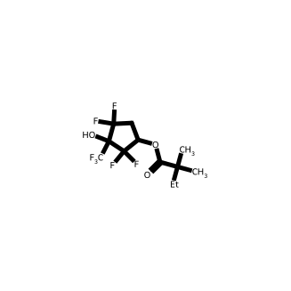 CCC(C)(C)C(=O)OC1CC(F)(F)C(O)(C(F)(F)F)C1(F)F